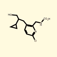 O=C(O)NCc1nc(Cl)ccc1CC(CO)C1CC1